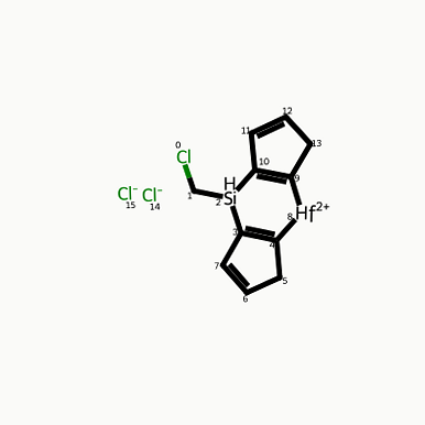 ClC[SiH]1C2=[C](CC=C2)[Hf+2][C]2=C1C=CC2.[Cl-].[Cl-]